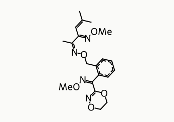 CON=C(C=C(C)C)C(C)=NOCc1ccccc1C(=NOC)C1=NOCCO1